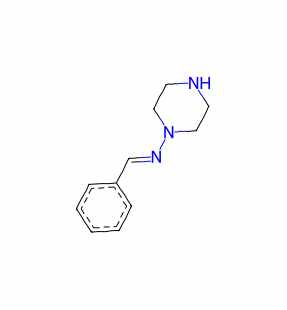 C(=NN1CCNCC1)c1ccccc1